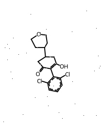 O=C1CC(C2CCOCC2)CC(O)=C1c1c(Cl)cccc1Cl